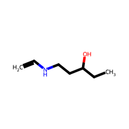 C=CNCCC(O)CC